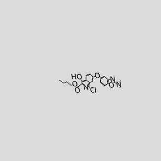 CCCCOC(=O)c1nc(Cl)c2cc(Oc3ccc4oc(N(C)C)nc4c3)ccc2c1O